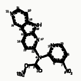 CC(C)(C)OC(=O)N(c1cc([N+](=O)[O-])ccn1)c1ccc2c(n1)[nH]c1ccncc12